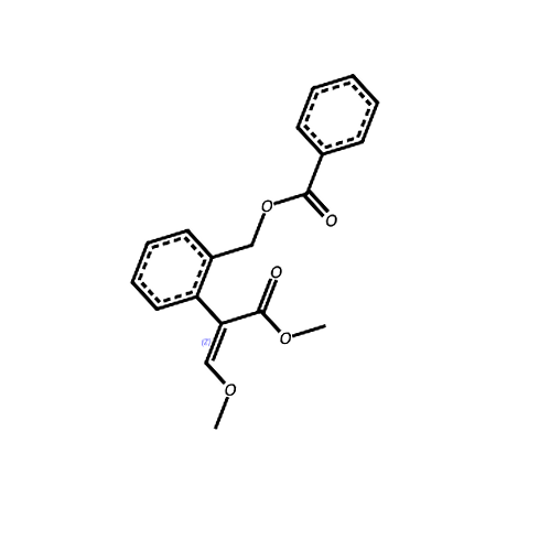 CO/C=C(\C(=O)OC)c1ccccc1COC(=O)c1ccccc1